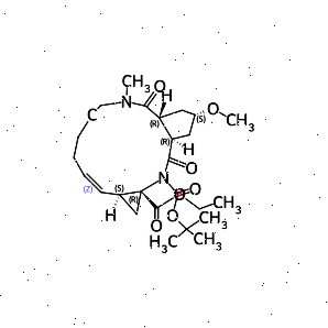 CCOC(=O)[C@@]12C[C@H]1/C=C\CCCCN(C)C(=O)[C@@H]1C[C@H](OC)C[C@H]1C(=O)N2C(=O)OC(C)(C)C